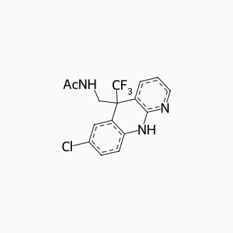 CC(=O)NCC1(C(F)(F)F)c2cc(Cl)ccc2Nc2ncccc21